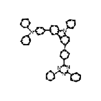 c1ccc(-c2nc(-c3ccccc3)nc(-c3ccc(-c4ccc5c(c4)c4cc(-c6ccc(N(c7ccccc7)c7ccccc7)cc6)ccc4n5-c4ccccc4)cc3)n2)cc1